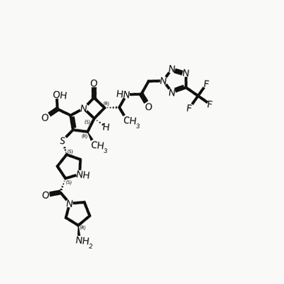 CC(NC(=O)Cn1nnc(C(F)(F)F)n1)[C@H]1C(=O)N2C(C(=O)O)=C(S[C@@H]3CN[C@H](C(=O)N4CC[C@@H](N)C4)C3)[C@H](C)[C@H]12